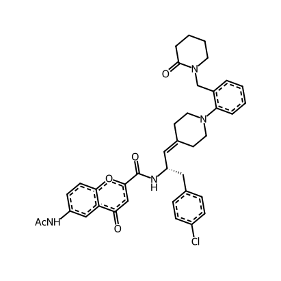 CC(=O)Nc1ccc2oc(C(=O)N[C@H](C=C3CCN(c4ccccc4CN4CCCCC4=O)CC3)Cc3ccc(Cl)cc3)cc(=O)c2c1